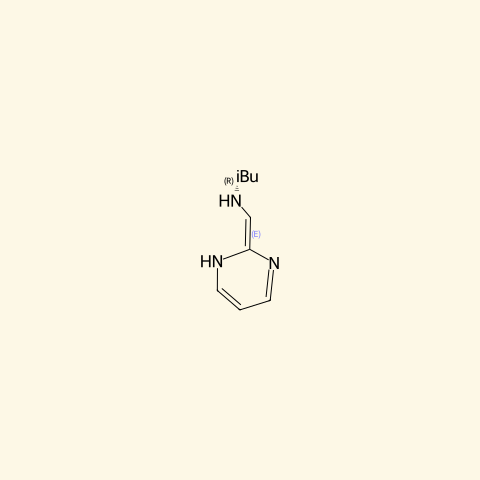 CC[C@@H](C)N/C=C1/N=CC=CN1